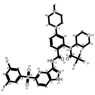 CN1CCN(c2ccc(C(=O)Nc3n[nH]c4ccc(S(=O)(=O)c5cc(F)cc(F)c5)nc34)c(N(C(=O)C(F)(F)F)C3CCOCC3)c2)CC1